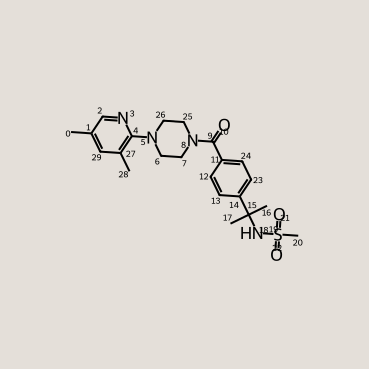 Cc1cnc(N2CCN(C(=O)c3ccc(C(C)(C)NS(C)(=O)=O)cc3)CC2)c(C)c1